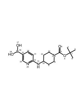 CC(C)(C)OC(=O)N1CCC(Nc2ccc(B(O)O)cn2)CC1